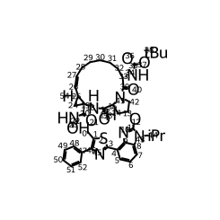 Cc1sc(-c2cccc3c2nc(O[C@@H]2C[C@H]4C(=O)N[C@]5(C(=O)NO)C[C@H]5/C=C\CCCCC[C@H](NC(=O)OC(C)(C)C)C(=O)N4C2)n3C(C)C)nc1-c1ccccc1